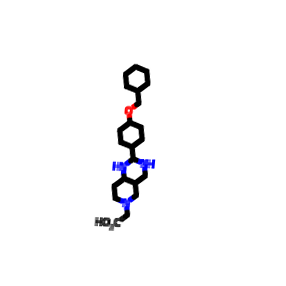 O=C(O)CN1CCC2NC(C3CCC(OCC4CCCCC4)CC3)NCC2C1